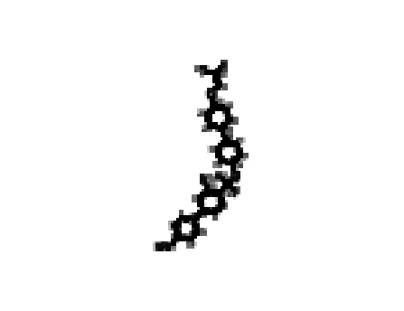 CCCc1ccc(-c2ccc(C(F)(F)Oc3ccc(-c4ccc(OC=C(F)F)cc4)cc3)c(F)c2)cc1